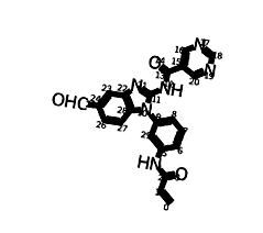 C=CC(=O)Nc1cccc(-n2c(NC(=O)c3cncnc3)nc3cc(C=O)ccc32)c1